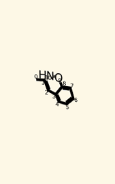 CC1=Cc2ccccc2ON1